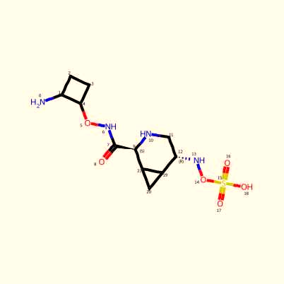 NC1CCC1ONC(=O)[C@H]1NC[C@H](NOS(=O)(=O)O)C2CC21